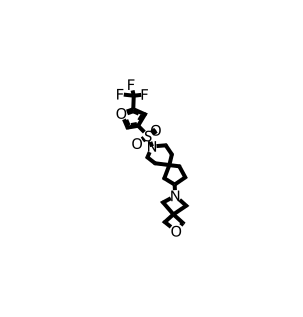 O=S(=O)(c1coc(C(F)(F)F)c1)N1CCC2(CCC(N3CC4(COC4)C3)C2)CC1